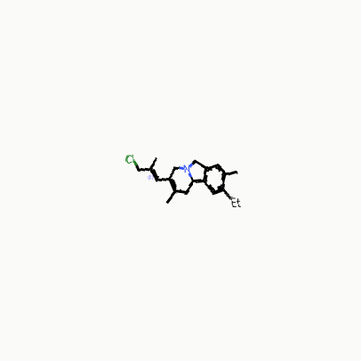 CCc1cc2c(cc1C)CN1CC(/C=C(\C)CCl)=C(C)CC21